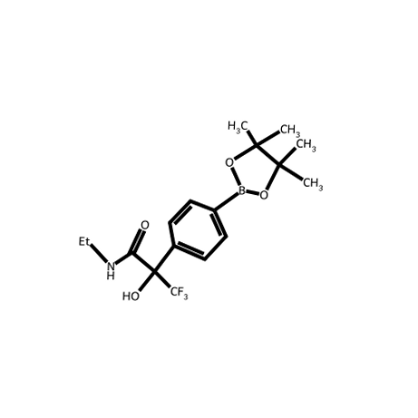 CCNC(=O)C(O)(c1ccc(B2OC(C)(C)C(C)(C)O2)cc1)C(F)(F)F